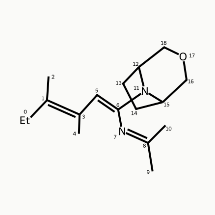 CC/C(C)=C(C)/C=C(\N=C(C)C)N1C2CCC1COC2